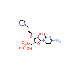 Nc1ccn([C@@H]2O[C@H](COP(=O)(O)O)[C@H](O/C=C/CN3CCCC3)C2O)c(=O)n1